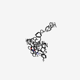 C=C(/C(O)=C(Cl)\C(O)=C(/C)Cl)c1c(-c2ccc(F)cc2)sc2ncnc(O[C@H](Cc3cc(OCN4CCN(O)CC4)ccc3OCc3ccnc(-c4ccccc4OO)n3)C(=O)O)c12